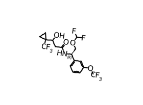 O=C(CC(O)C1(C(F)(F)F)CC1)N[C@@H](COC(F)F)c1cccc(OC(F)(F)F)c1